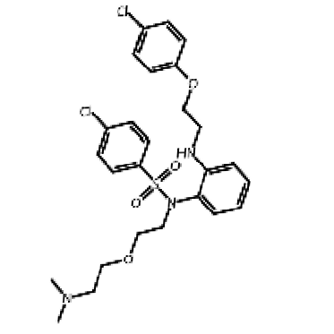 CN(C)CCOCCN(c1ccccc1NCCOc1ccc(Cl)cc1)S(=O)(=O)c1ccc(Cl)cc1